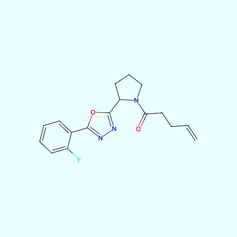 C=CCCC(=O)N1CCCC1c1nnc(-c2ccccc2F)o1